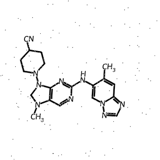 Cc1cc2ncnn2cc1Nc1ncc2c(n1)N(N1CCC(C#N)CC1)CN2C